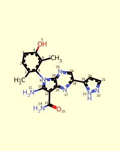 Cc1ccc(O)c(C)c1-n1c(N)c(C(N)=O)c2nc(-c3ccn[nH]3)cnc21